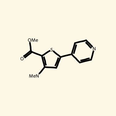 CNc1cc(-c2ccncc2)sc1C(=O)OC